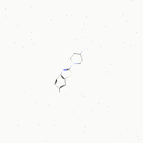 CCOC(=O)c1ccc2nc(N3CCC(N)CC3)sc2c1